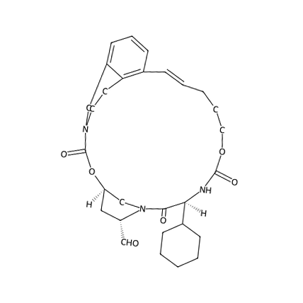 O=C[C@@H]1C[C@@H]2CN1C(=O)[C@H](C1CCCCC1)NC(=O)OCCC/C=C/c1cccc3c1CCN(C3)C(=O)O2